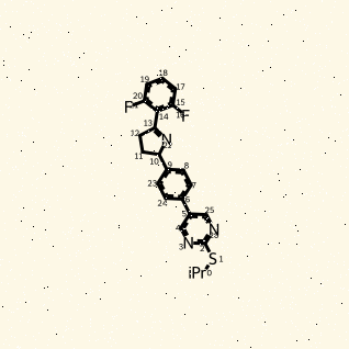 CC(C)Sc1ncc(-c2ccc(C3CCC(c4c(F)cccc4F)=N3)cc2)cn1